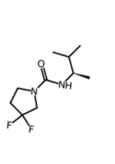 CC(C)[C@@H](C)NC(=O)N1CCC(F)(F)C1